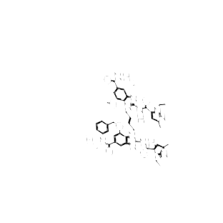 CCn1nc(C)cc1C(=O)Nc1nc2cc(C(N)=O)cc(OC)c2n1CC=CCn1c(NC(=O)c2cc(C)nn2CC)nc2cc(C(N)=O)cc(OCc3ccccc3)c21